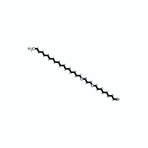 CCCCCCCCCCCCCCCCCCOCCCOCCCCCCCCBr